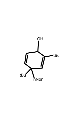 CCCCCCCCCC1(C(C)(C)C)C=CC(O)C(C(C)(C)C)=C1